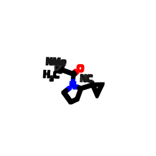 CN[C@H](C)C(=O)N1CCCC1C1(C#N)CC1